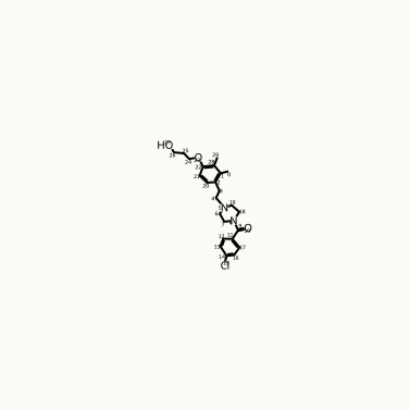 Cc1c(CCN2CCN(C(=O)c3ccc(Cl)cc3)CC2)ccc(OCCCO)c1C